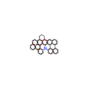 c1ccc(-c2cccc(N(c3ccccc3-c3cccc4cccc(-c5ccccc5)c34)c3ccccc3-c3cccc4cccc(C5CCCCC5)c34)c2-c2ccccc2)cc1